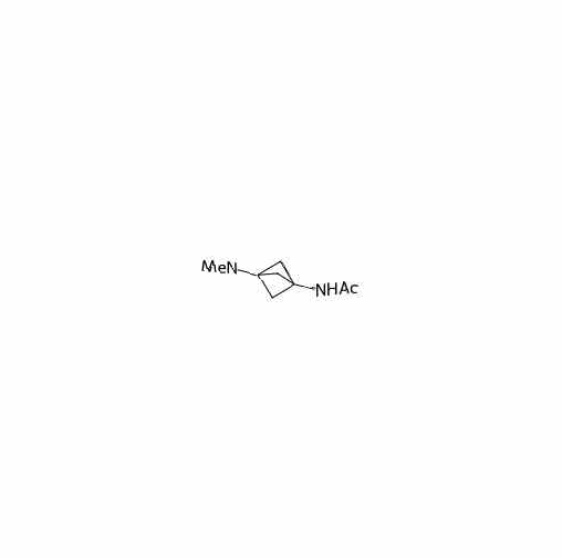 CNC12CC(NC(C)=O)(C1)C2